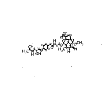 COC(=O)C1=C(C#N)NC(C)=C(C(=O)OCCNC(=O)Cc2ccc(OCC(O)CNC(C)C)cc2)C1c1cccc([N+](=O)[O-])c1